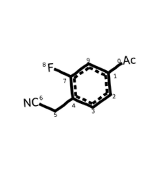 CC(=O)c1ccc(CC#N)c(F)c1